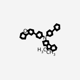 CC1(C)c2ccccc2-c2cc(N(c3ccc(-c4ccccc4)cc3)c3ccc(-c4ccc5oc6ccccc6c5c4)cc3)ccc21